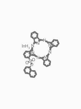 O=S(=O)(Oc1cccc2ccccc12)c1cccc2c3nc4nc(nc5[nH]c(nc6nc(nc([nH]3)c12)-c1ccccc1-6)c1ccccc51)-c1ccccc1-4.[InH3]